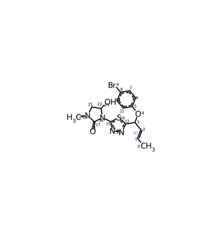 C/C=C/C(Oc1ccc(Br)cc1)c1nnc(N2C(=O)N(C)CC2O)s1